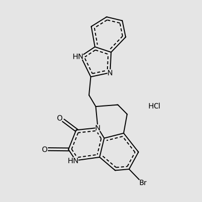 Cl.O=c1[nH]c2cc(Br)cc3c2n(c1=O)C(Cc1nc2ccccc2[nH]1)CC3